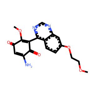 COCCOc1ccc2c(C3=C(OC)C(=O)C=C(N)C3=O)ncnc2c1